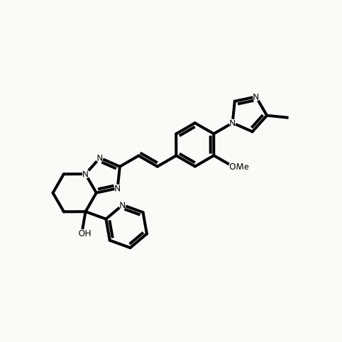 COc1cc(C=Cc2nc3n(n2)CCCC3(O)c2ccccn2)ccc1-n1cnc(C)c1